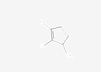 CC1C=CC(F)=C1Cl